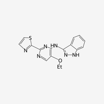 CCOc1cnc(-c2nccs2)nc1Nc1n[nH]c2ccccc12